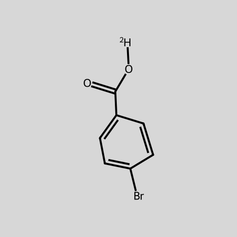 [2H]OC(=O)c1ccc(Br)cc1